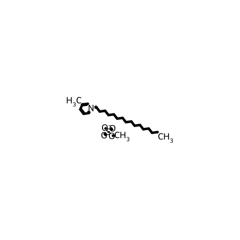 CCCCCCCCCCCCCCCC[n+]1cccc(C)c1.COS(=O)(=O)[O-]